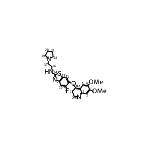 COc1cc2c(cc1OC)=C(Oc1cc3sc(NCCN4CCCC4)nc3cc1F)CCN=2